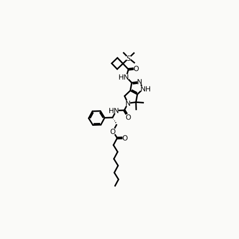 CCCCCCCC(=O)OC[C@@H](NC(=O)N1Cc2c(NC(=O)C3(S(C)(C)C)CCC3)n[nH]c2C1(C)C)c1ccccc1